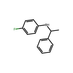 CC(Bc1ccc(F)cc1)c1ccccc1